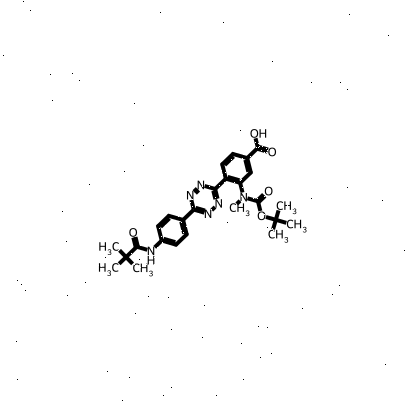 CN(C(=O)OC(C)(C)C)c1cc(C(=O)O)ccc1-c1nnc(-c2ccc(NC(=O)C(C)(C)C)cc2)nn1